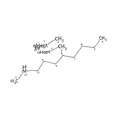 CCCCCCCC.CCCCCCCC.CCCCCCCCNC.I